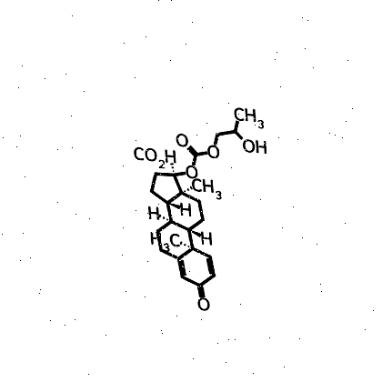 CC(O)COC(=O)O[C@]1(C(=O)O)CC[C@H]2[C@@H]3CCC4=CC(=O)C=C[C@]4(C)[C@H]3CC[C@@]21C